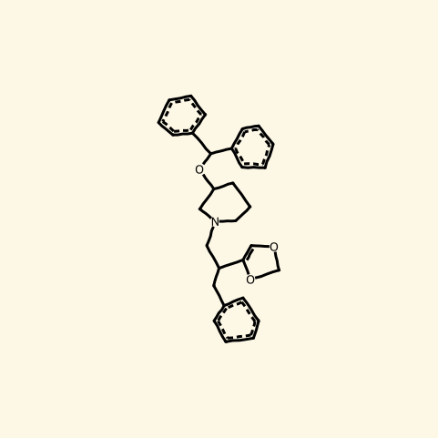 C1=C(C(Cc2ccccc2)CN2CCCC(OC(c3ccccc3)c3ccccc3)C2)OCO1